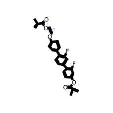 C=C(C)C(=O)O/C=C\Oc1ccc(-c2ccc(-c3ccc(OC(=O)C(=C)C)cc3F)cc2F)cc1